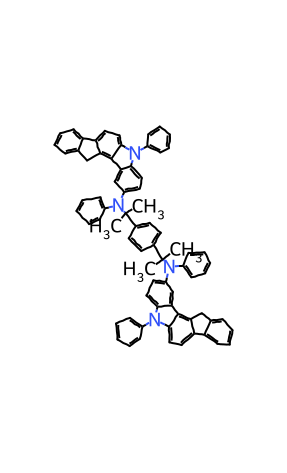 CC(C)(c1ccc(C(C)(C)N(c2ccccc2)c2ccc3c(c2)c2c4c(ccc2n3-c2ccccc2)-c2ccccc2C4)cc1)N(c1ccccc1)c1ccc2c(c1)c1c3c(ccc1n2-c1ccccc1)-c1ccccc1C3